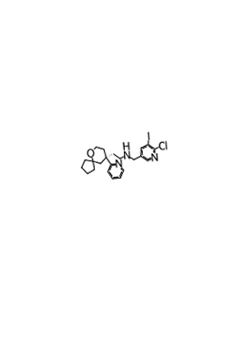 Clc1ncc(CNCC[C@@]2(c3ccccn3)CCOC3(CCCC3)C2)cc1I